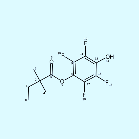 CCC(C)(C)C(=O)Oc1c(F)c(F)c(O)c(F)c1F